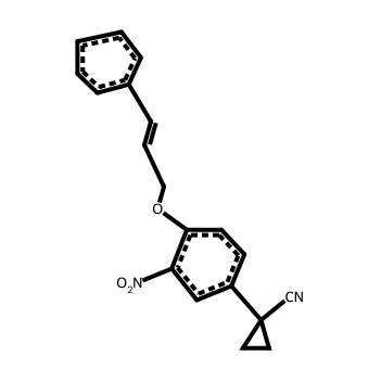 N#CC1(c2ccc(OCC=Cc3ccccc3)c([N+](=O)[O-])c2)CC1